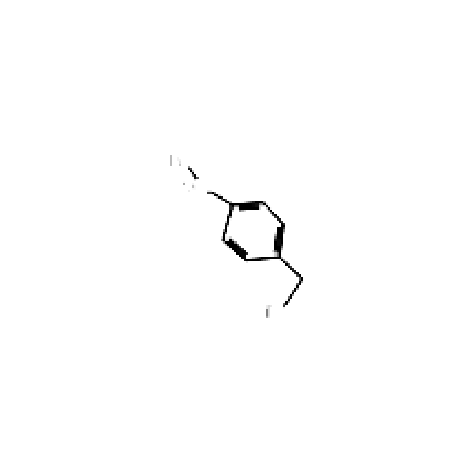 CC(C)Cc1cc[c]([Mg][Br])cc1